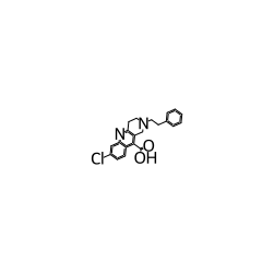 O=C(O)c1c2c(nc3cc(Cl)ccc13)CCN(CCc1ccccc1)C2